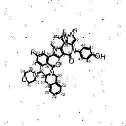 Cn1cc(N(C(=O)c2cc(-c3cc(F)ccc3C(=O)N3Cc4ccccc4C[C@H]3CN3CCOCC3)n(C)c2CC(F)F)c2ccc(O)cc2)cn1